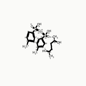 C[C@@H](O)CC[C@@H](C)O.Cc1ccc(S(=O)(=O)O)cc1.Cc1ccc(S(=O)(=O)O)cc1